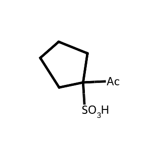 CC(=O)C1(S(=O)(=O)O)CCCC1